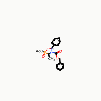 CC(=O)OP(=O)(OCc1ccccc1)C(C)NC(=O)OCc1ccccc1